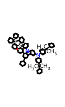 CC(C)(c1ccccc1)c1ccc(N(c2ccc(C(C)(C)c3ccccc3)cc2)c2ccc3c(c2)c2cc(-c4ccccc4)ccc2n3-c2cccc([Si]3(c4ccccc4)c4ccccc4[Si](c4ccccc4)(c4ccccc4)c4ccccc43)c2)cc1